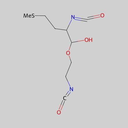 CSCCC(N=C=O)C(O)OCCN=C=O